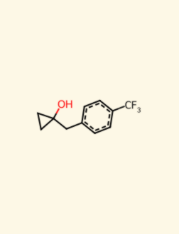 OC1(Cc2ccc(C(F)(F)F)cc2)CC1